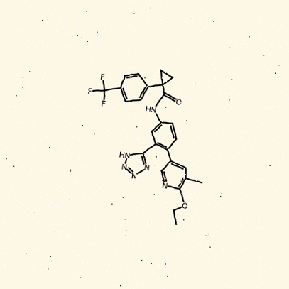 CCOc1ncc(-c2ccc(NC(=O)C3(c4ccc(C(F)(F)F)cc4)CC3)cc2-c2nnn[nH]2)cc1C